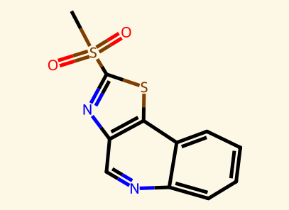 CS(=O)(=O)c1nc2cnc3ccccc3c2s1